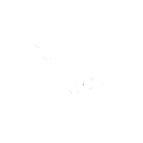 C=CCNCC1CCC(CCN(C)S(=O)(=O)c2ccc(C(F)(F)F)cc2)CC1